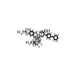 CC(C)Oc1ccc2c(c1)C[N+](C(=O)NCC(C(=O)O)c1ccc(-c3ccccc3)cc1)(C(=O)OC(C)(C)C)CC2